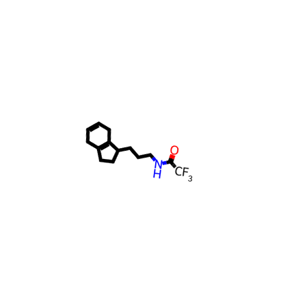 O=C(NCCCC1CCC2=C1CC=CC2)C(F)(F)F